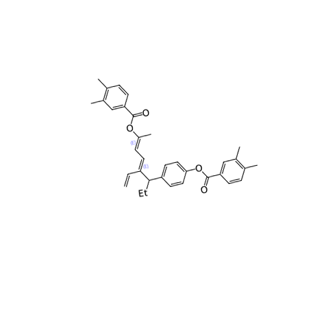 C=C/C(=C\C=C(/C)OC(=O)c1ccc(C)c(C)c1)C(CC)c1ccc(OC(=O)c2ccc(C)c(C)c2)cc1